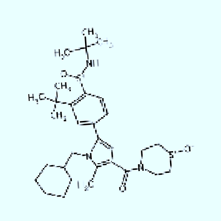 Cc1c(C(=O)N2CC[S+]([O-])CC2)cc(-c2ccc([S+]([O-])NC(C)(C)C)c(C(C)(C)C)c2)n1CC1CCCCC1